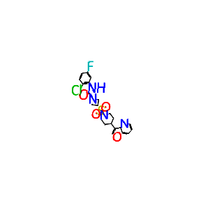 O=C(Nc1cc(F)ccc1Cl)N1CC(S(=O)(=O)N2CCC(c3coc4cccnc34)CC2)C1